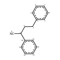 N#CC(CCc1ccccc1)c1ccccc1